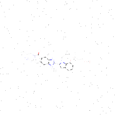 C[C@H](CCO)Oc1cccc2cc(-c3nc4cc5c(cc4n3C)CCN(C[C@H](N)CF)C5=O)n(CC3CC3)c12